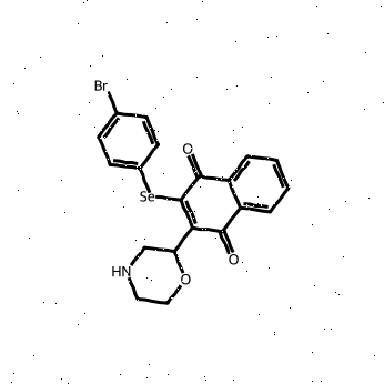 O=C1C([Se]c2ccc(Br)cc2)=C(C2CNCCO2)C(=O)c2ccccc21